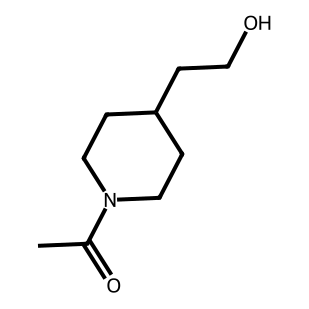 CC(=O)N1CCC(CCO)CC1